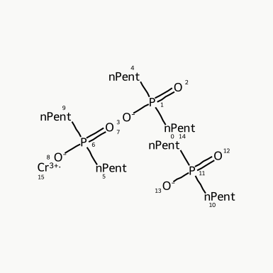 CCCCCP(=O)([O-])CCCCC.CCCCCP(=O)([O-])CCCCC.CCCCCP(=O)([O-])CCCCC.[Cr+3]